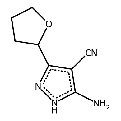 N#Cc1c(C2CCCO2)n[nH]c1N